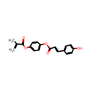 C=C(C)C(=O)Oc1ccc(OC(=O)/C=C/c2ccc(O)cc2)cc1